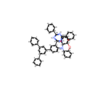 c1ccc(-c2cc(-c3ccccc3)cc(-c3ccc(N4c5ccccc5Oc5ccccc54)c(-c4nc(-c5ccccc5)nc(-c5ccccc5)n4)c3)c2)cc1